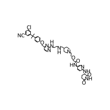 CC(C)(c1ccc(OCc2ccnc(NCCNCC3CCN(CCOCC(=O)Nc4ccc(NC5CCC(=O)NC5=O)nc4)CC3)n2)cc1)c1cc(Cl)cc(C#N)c1